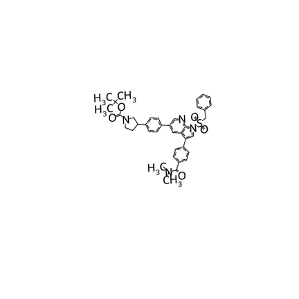 CN(C)C(=O)c1ccc(-c2cn(S(=O)(=O)Cc3ccccc3)c3ncc(-c4ccc(C5CCN(C(=O)OC(C)(C)C)C5)cc4)cc23)cc1